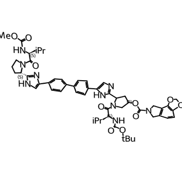 COC(=O)N[C@H](C(=O)N1CCC[C@H]1c1nc(-c2ccc(-c3ccc(-c4cnc(C5C[C@@H](OC(=O)N6Cc7ccc8c(c7C6)OCO8)CN5C(=O)[C@@H](NC(=O)OC(C)(C)C)C(C)C)[nH]4)cc3)cc2)c[nH]1)C(C)C